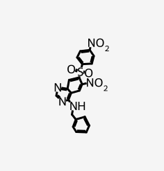 O=[N+]([O-])c1ccc(S(=O)(=O)c2cc3ncnc(NCc4ccccc4)c3cc2[N+](=O)[O-])cc1